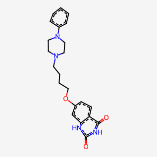 O=c1[nH]c(=O)c2ccc(OCCCCN3CCN(c4ccccc4)CC3)cc2[nH]1